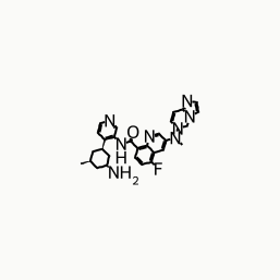 C[C@@H]1C[C@H](N)C[C@H](c2ccncc2NC(=O)c2ccc(F)c3cc(N(C)N4C=Cc5nccn5C4)cnc23)C1